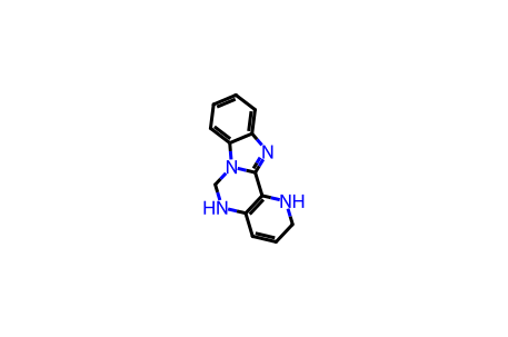 C1=CC2=C(NC1)c1nc3ccccc3n1CN2